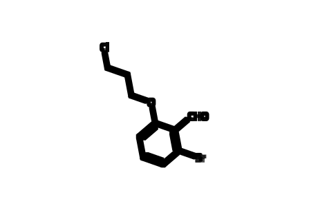 O=Cc1c(Br)cccc1OCCCCl